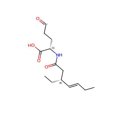 CCC=C[C@H](CC)CC(=O)N[C@@H](CC[C]=O)C(=O)O